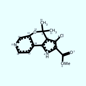 COC(=O)c1[nH]c2c(c1Cl)C(C)(C)Oc1cnccc1-2